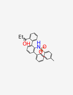 CC[C@H](O)c1ccccc1-c1cccc(-c2ccccc2)c1NS(=O)(=O)c1ccc(C)cc1